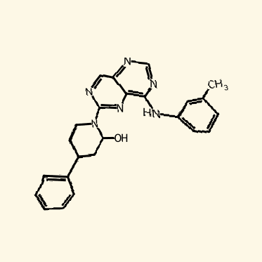 Cc1cccc(Nc2ncnc3cnc(N4CCC(c5ccccc5)CC4O)nc23)c1